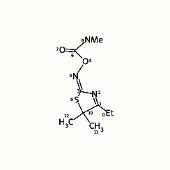 CCC1=NC(=NOC(=O)NC)SC1(C)C